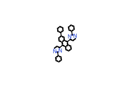 c1ccc(-c2ccc3c(-c4ccnc(-c5ccccc5)n4)c4ccccc4c(-c4ccnc(-c5ccccc5)n4)c3c2)cc1